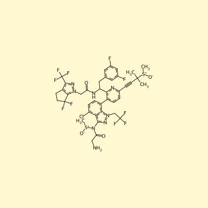 C[S+]([O-])N(C(=O)CN)c1nn(CC(F)(F)F)c2c(-c3ccc(C#CC(C)(C)[S+](C)[O-])nc3C(Cc3cc(F)cc(F)c3)NC(=O)Cn3nc(C(F)(F)F)c4c3C(F)(F)CC4)ccc(Cl)c12